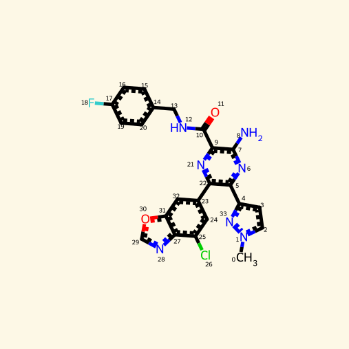 Cn1ccc(-c2nc(N)c(C(=O)NCc3ccc(F)cc3)nc2-c2cc(Cl)c3ncoc3c2)n1